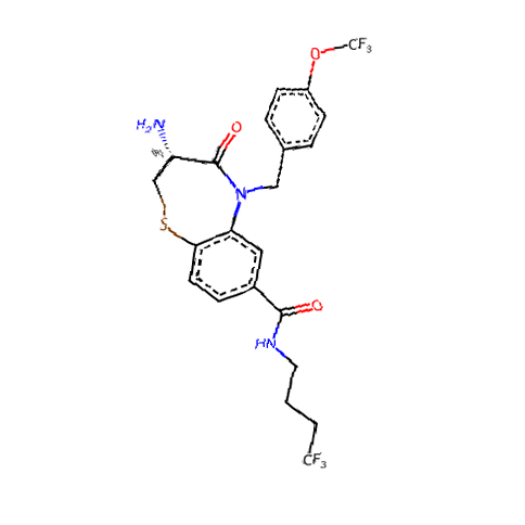 N[C@H]1CSc2ccc(C(=O)NCCCC(F)(F)F)cc2N(Cc2ccc(OC(F)(F)F)cc2)C1=O